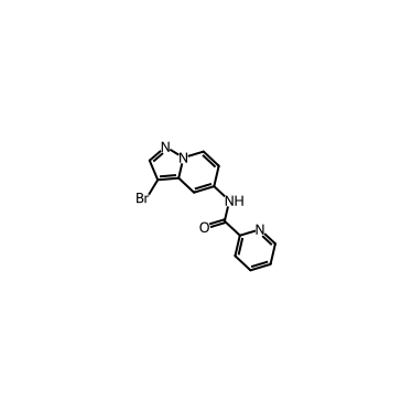 O=C(Nc1ccn2ncc(Br)c2c1)c1ccccn1